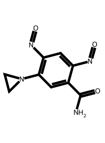 NC(=O)c1cc(N2CC2)c(N=O)cc1N=O